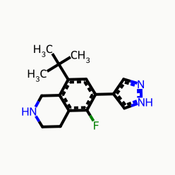 CC(C)(C)c1cc(-c2cn[nH]c2)c(F)c2c1CNCC2